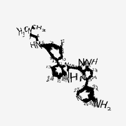 CN(C)CCNc1cc(F)cc(-c2cccc3[nH]c(-c4n[nH]c5ccc(-c6cncc(N)c6)nc45)nc23)c1